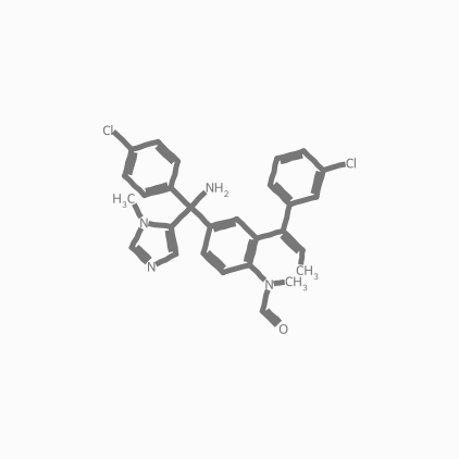 C/C=C(/c1cccc(Cl)c1)c1cc(C(N)(c2ccc(Cl)cc2)c2cncn2C)ccc1N(C)C=O